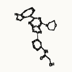 O=C(CO)Nc1cccc(-c2cc3nc(-c4cccc5[nH]ncc45)nc(N4CCOCC4)c3s2)c1